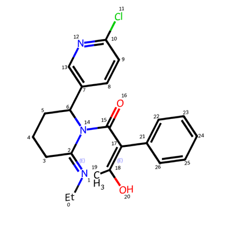 CC/N=C1\CCCC(c2ccc(Cl)nc2)N1C(=O)/C(=C(\C)O)c1ccccc1